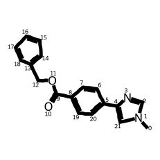 Cn1cnc(-c2ccc(C(=O)OCc3ccccc3)cc2)c1